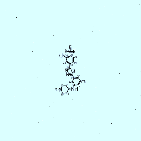 Cc1cc(NC2CCN(C)CC2)cc(-c2nnc(-c3ccc(C(F)(F)F)c(Cl)c3)o2)c1